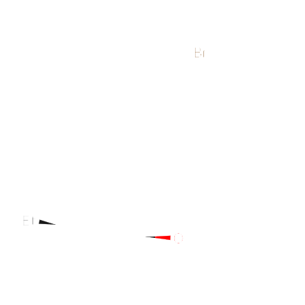 CC[C@H]1CC[C@@H](Oc2ccc3ccc(Br)cc3c2)CC1